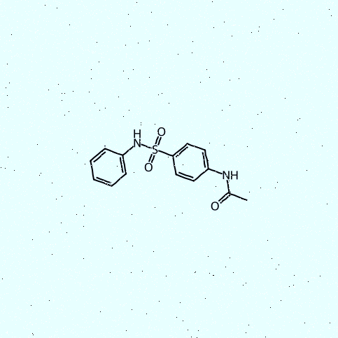 CC(=O)Nc1ccc(S(=O)(=O)Nc2[c]cccc2)cc1